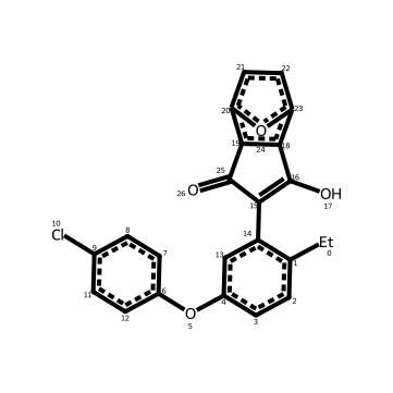 CCc1ccc(Oc2ccc(Cl)cc2)cc1C1=C(O)c2c(c3ccc2o3)C1=O